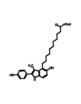 CCCCC[S+]([O-])CCCCCCCCCCc1c(O)ccc2[nH]c(-c3ccc(O)cc3)c(C)c12